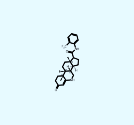 C[C@]12CCC(=O)C=C1NC[C@@H]1[C@H]2CC[C@]2(C)C(C(=O)Nc3ccccc3C(F)(F)F)CC[C@@H]12